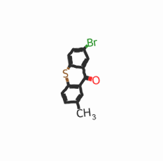 Cc1ccc2sc3ccc(Br)cc3c(=O)c2c1